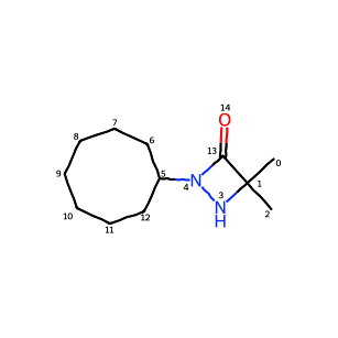 CC1(C)NN(C2CCCCCCC2)C1=O